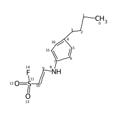 CCCCc1ccc(NC=CS(=O)(=O)F)cc1